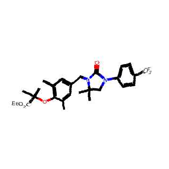 CCOC(=O)C(C)(C)Oc1c(C)cc(CN2C(=O)N(c3ccc(C(F)(F)F)cc3)CC2(C)C)cc1C